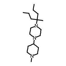 CCCC(C)(CCC)N1CCN(C2CCN(C)CC2)CC1